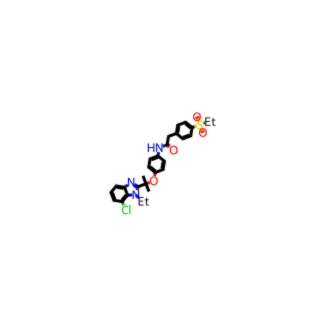 CCn1c(C(C)(C)Oc2ccc(NC(=O)Cc3ccc(S(=O)(=O)CC)cc3)cc2)nc2cccc(Cl)c21